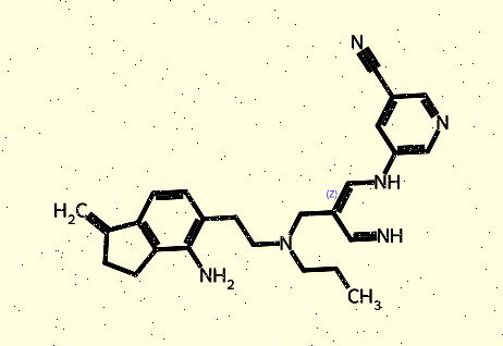 C=C1CCc2c1ccc(CCN(CCC)C/C(C=N)=C/Nc1cncc(C#N)c1)c2N